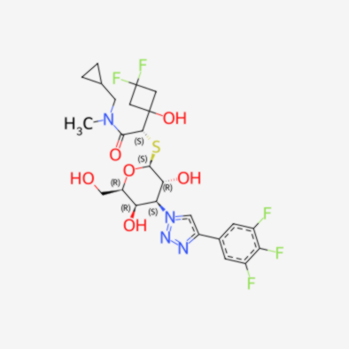 CN(CC1CC1)C(=O)[C@@H](S[C@@H]1O[C@H](CO)[C@H](O)[C@H](n2cc(-c3cc(F)c(F)c(F)c3)nn2)[C@H]1O)C1(O)CC(F)(F)C1